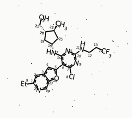 CCc1cc2cc(-c3c(Cl)nc(NCCC(F)(F)F)nc3N[C@@H]3C[C@H](CO)[C@@H](C)C3)oc2cn1